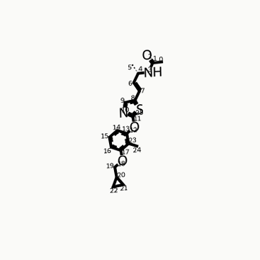 CC(=O)N[C@@H](C)/C=C/c1cnc(Oc2cccc(OCC3CC3)c2C)s1